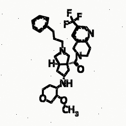 COC1COCCC1N[C@@H]1C[C@H]2CN(CCCc3ccccc3)C[C@@]2(C(=O)N2CCc3ncc(C(F)(F)F)cc3C2)C1